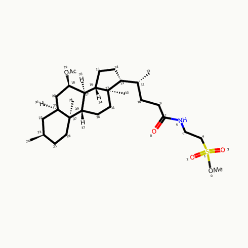 COS(=O)(=O)CCNC(=O)CC[C@@H](C)[C@H]1CC[C@H]2[C@@H]3[C@H](OC(C)=O)C[C@@H]4C[C@H](C)CC[C@]4(C)[C@H]3CC[C@]12C